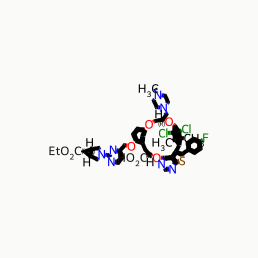 CCOC(=O)[C@H]1[C@@H]2CN(c3nccc(COc4ccc5cc4C[C@H](C(=O)O)Oc4ncnc6sc(-c7ccc(F)cc7)c(c46)-c4c(C)c(Cl)c(c(Cl)c4C)O[C@H](CN4CCN(C)CC4)CO5)n3)C[C@@H]21